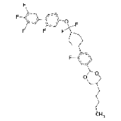 CCCCCC1COC(c2ccc(C3CCC(C(F)(F)Oc4ccc(-c5cc(F)c(F)c(F)c5)c(F)c4)CC3)c(F)c2)OC1